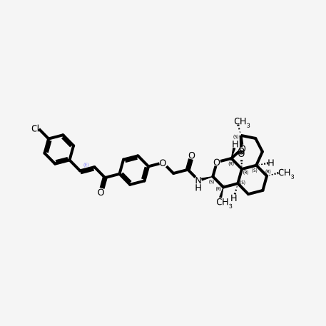 C[C@H]1[C@@H](NC(=O)COc2ccc(C(=O)/C=C/c3ccc(Cl)cc3)cc2)O[C@@H]2O[C@]3(C)CC[C@H]4[C@H](C)CC[C@@H]1[C@@]24OO3